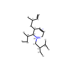 C=CC(C)CC(/C=C\C)C(NCC(CC)C(C)C)C(C)CC